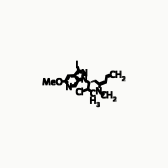 C=C/C=C(\C[C@H](C(C)Cl)n1nc(I)c2cc(OC)ncc21)N=C